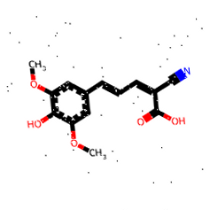 COc1cc(C=CC=C(C#N)C(=O)O)cc(OC)c1O